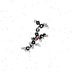 Cn1c(=O)c2nc3[nH]ccc3cc2n1-c1cc(N2CCN(CC3=C(c4ccc(Cl)cc4)CC(C)(C)CC3)CC2)ccc1C(=O)NS(=O)(=O)c1cc2c(c([N+](=O)[O-])c1)N[C@H](CN1CCC(C)(O)CC1)CO2